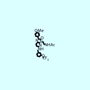 COc1ccc(-c2nc3ccc(NCc4cccc(OC(F)(F)F)c4)nc3n(CCNC(C)=O)c2=O)cc1